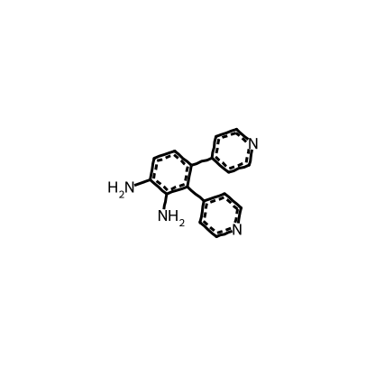 Nc1ccc(-c2ccncc2)c(-c2ccncc2)c1N